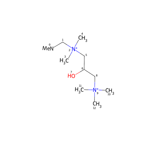 CNC[N+](C)(C)CC(O)C[N+](C)(C)C